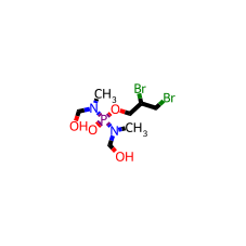 CN(CO)P(=O)(OCC(Br)CBr)N(C)CO